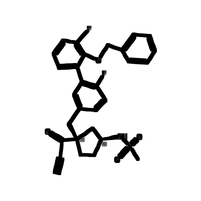 C#CC(=O)[C@@]1(Cc2ccc(F)c(-c3cccc(F)c3OCc3ccccc3)c2)CC[C@H](NS(C)(=O)=O)C1